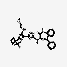 COCCNc1sc(C2(C(F)(F)F)CCC2)nc1-c1nnc(N[C@H]2N=C(c3ccccc3)c3ccccc3NC2=O)o1